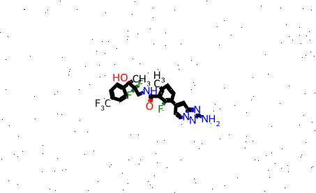 Cc1ccc(-c2ccn3nc(N)nc3c2)c(F)c1C(=O)NCC(F)(F)C(C)(O)c1ccc(C(F)(F)F)cc1